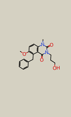 COc1ccc2c(c1Cc1ccccc1)c(=O)n(CCCO)c(=O)n2C